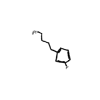 CC(C)CCCCc1cccc(F)c1